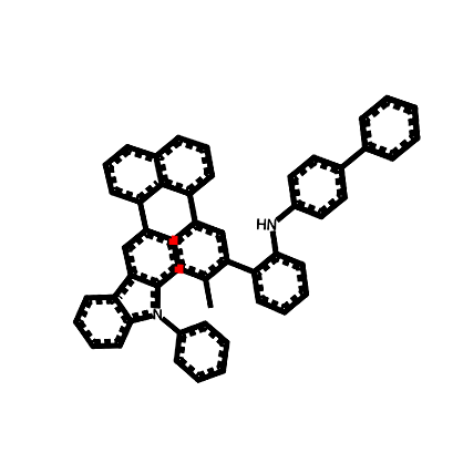 Cc1ccc(-c2cccc3cccc(-c4ccc5c(c4)c4ccccc4n5-c4ccccc4)c23)cc1-c1ccccc1Nc1ccc(-c2ccccc2)cc1